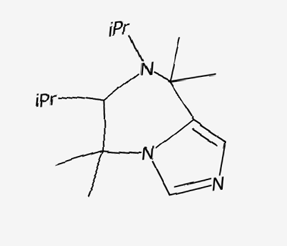 CC(C)C1N(C(C)C)C(C)(C)c2cncn2C1(C)C